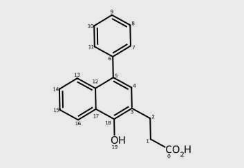 O=C(O)CCc1cc(-c2ccccc2)c2ccccc2c1O